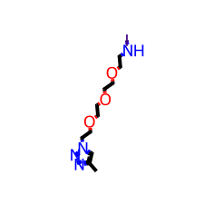 Cc1cn(CCOCCOCCOCCNI)nn1